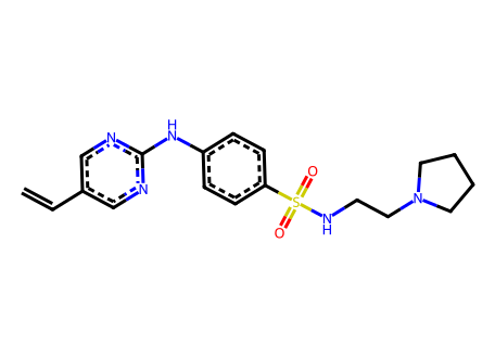 C=Cc1cnc(Nc2ccc(S(=O)(=O)NCCN3CCCC3)cc2)nc1